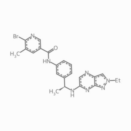 CCn1cc2ncc(N[C@@H](C)c3cccc(NC(=O)c4cnc(Br)c(C)c4)c3)nc2n1